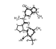 Cc1cc(C(F)(F)F)c(C#N)c(N2CCCC2C(=O)N(C)c2cc(Cl)c3ccn(C)c3n2)n1